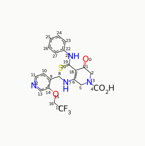 O=C1CN(C(=O)O)CC(NCc2ccncc2OCC(F)(F)F)=C1C(=S)Nc1ccccc1